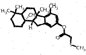 CSCC(=O)Oc1cc(C)c2c(c1)C[C@H]1C2(C)CCC2C(C)(C)CCC[C@@]21C